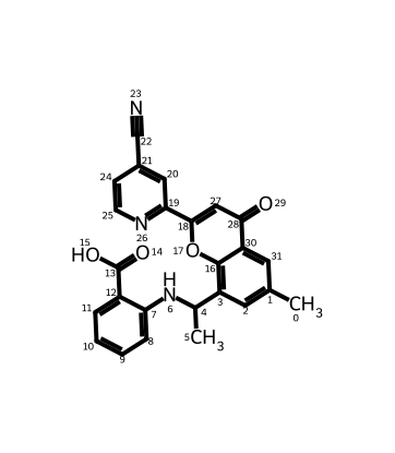 Cc1cc(C(C)Nc2ccccc2C(=O)O)c2oc(-c3cc(C#N)ccn3)cc(=O)c2c1